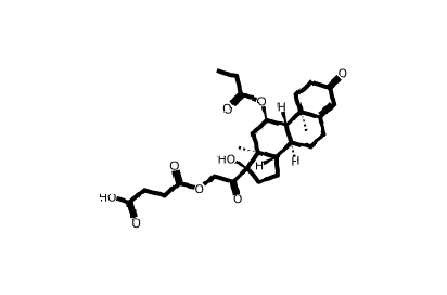 CCC(=O)O[C@@H]1C[C@@]2(C)[C@@H](CC[C@]2(O)C(=O)COC(=O)CCC(=O)O)[C@@H]2CCC3=CC(=O)CC[C@]3(C)[C@H]21